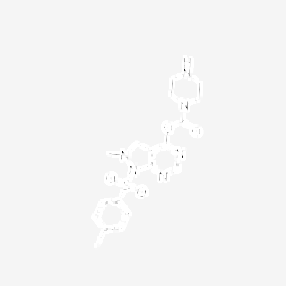 Cc1ccc(S(=O)(=O)N2c3ncnc(OC(=O)N4CCNCC4)c3CN2C)cc1